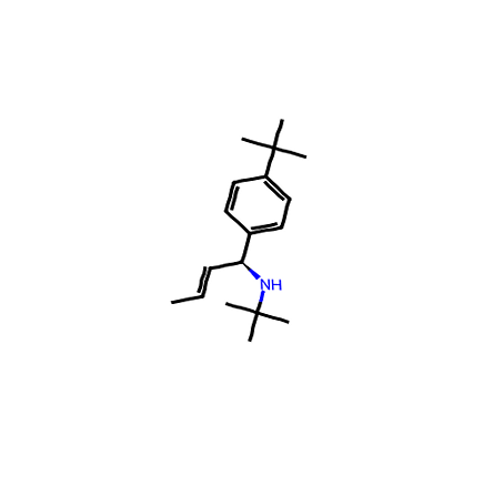 C/C=C/[C@H](NC(C)(C)C)c1ccc(C(C)(C)C)cc1